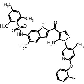 Cc1cc(C)c(S(=O)(=O)Nc2cc3[nH]c(C(=O)c4cnn(-c5cnc(Oc6ccccc6F)cc5C)c4N)cc3cc2C)c(C)c1